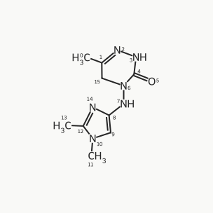 CC1=NNC(=O)N(Nc2cn(C)c(C)n2)C1